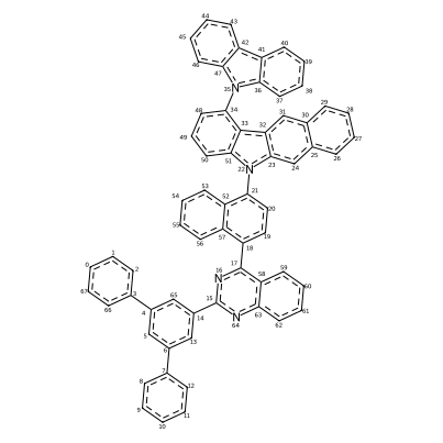 c1ccc(-c2cc(-c3ccccc3)cc(-c3nc(-c4ccc(-n5c6cc7ccccc7cc6c6c(-n7c8ccccc8c8ccccc87)cccc65)c5ccccc45)c4ccccc4n3)c2)cc1